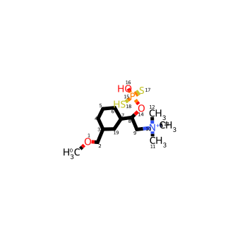 COCC1CCCC(C(C[N+](C)(C)C)OP(O)(=S)S)C1